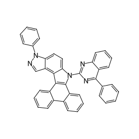 c1ccc(-c2nc(-n3c4ccc5c(cnn5-c5ccccc5)c4c4c5ccccc5c5ccccc5c43)nc3ccccc23)cc1